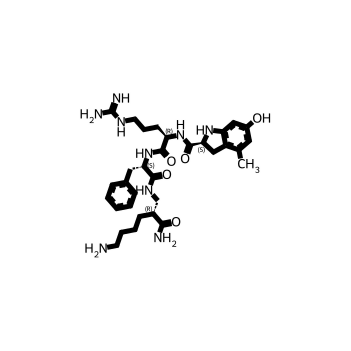 Cc1cc(O)cc2c1C[C@@H](C(=O)N[C@H](CCCNC(=N)N)C(=O)N[C@@H](Cc1ccccc1)C(=O)NC[C@@H](CCCCN)C(N)=O)N2